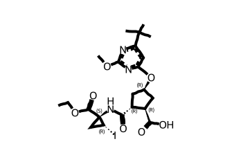 CCOC(=O)[C@@]1(NC(=O)[C@@H]2C[C@@H](Oc3cc(C(C)(C)C)nc(OC)n3)C[C@H]2C(=O)O)C[C@H]1I